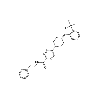 O=C(NCCc1ccccc1)c1ccc(N2CCC(=Cc3ccccc3C(F)(F)F)CC2)nn1